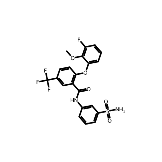 COc1c(F)cccc1Oc1ccc(C(F)(F)F)cc1C(=O)Nc1cccc(S(N)(=O)=O)c1